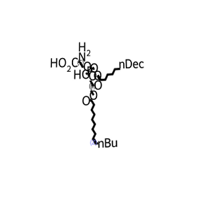 CCCC/C=C\CCCCCCCC(=O)OC[C@H](COP(=O)(O)OC[C@H](N)C(=O)O)OC(=O)CCCCCCCCCCCCCCC